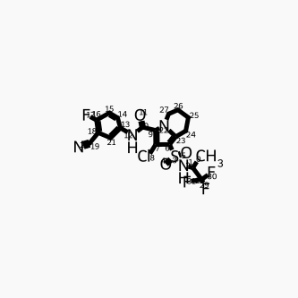 CC(NS(=O)(=O)c1c(Cl)c(C(=O)Nc2ccc(F)c(C#N)c2)n2c1CCCC2)C(F)(F)F